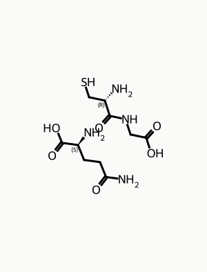 NC(=O)CC[C@H](N)C(=O)O.N[C@@H](CS)C(=O)NCC(=O)O